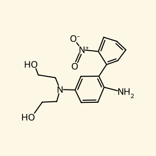 Nc1ccc(N(CCO)CCO)cc1-c1ccccc1[N+](=O)[O-]